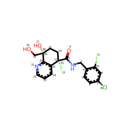 O=C(NCc1ccc(Cl)cc1F)[C@]1(F)CC[C@](O)(CO)c2ncccc21